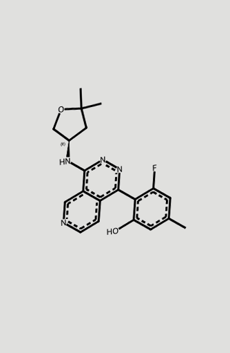 Cc1cc(O)c(-c2nnc(N[C@H]3COC(C)(C)C3)c3cnccc23)c(F)c1